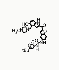 CN1CCN(Cc2c(O)ccc3[nH]c(C(=O)c4cc5cc(NC(O)Nc6cc(C(C)(C)C)on6)ccc5o4)cc23)CC1